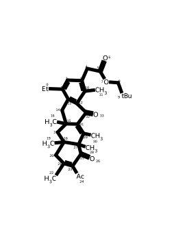 CCc1cc(CC(=O)OCC(C)(C)C)c(C)c2c1CC1(C)CC3(C)CC(C)=C(C(C)=O)C(=O)C3(C)C(C)=C1C2=O